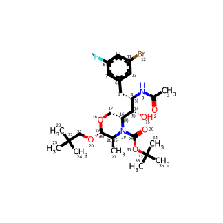 CC(=O)N[C@@H](Cc1cc(F)cc(Br)c1)[C@H](O)[C@H]1CO[C@@H](OCC(C)(C)C)[C@H](C)N1C(=O)OC(C)(C)C